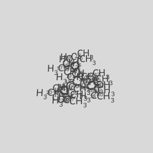 CC(C)(C)c1cc(CC2C(C)(C)C(Cc3cc(C(C)(C)C)c(O)c(C(C)(C)C)c3)C(C)(C)C(Cc3cc(C(C)(C)C)c(O)c(C(C)(C)C)c3)C2(C)C)cc(C(C)(C)C)c1O